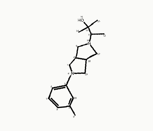 Cc1cccc(N2CC3CN(C(C)C(C)(C)O)CC3C2)c1